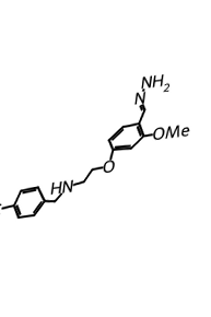 COc1cc(OCCNCc2ccc(C(F)(F)F)cc2)ccc1C=NN